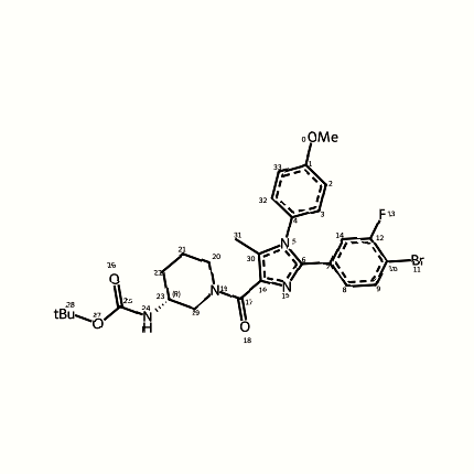 COc1ccc(-n2c(-c3ccc(Br)c(F)c3)nc(C(=O)N3CCC[C@@H](NC(=O)OC(C)(C)C)C3)c2C)cc1